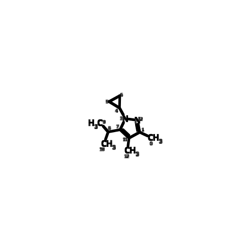 Cc1nn(C2CC2)c(C(C)C)c1C